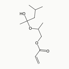 C=CC(=O)OCC(C)OC(C)(O)CC(C)C